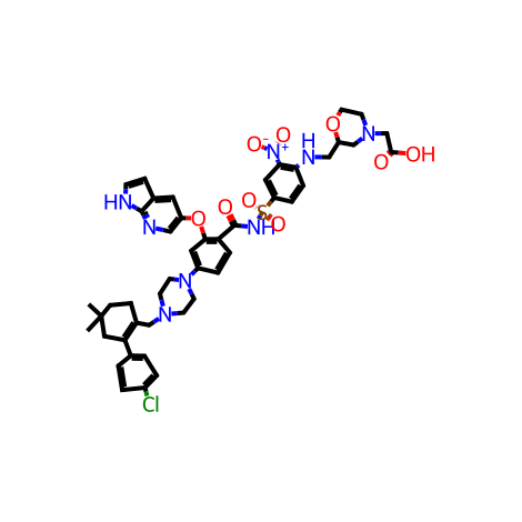 CC1(C)CCC(CN2CCN(c3ccc(C(=O)NS(=O)(=O)c4ccc(NCC5CN(CC(=O)O)CCO5)c([N+](=O)[O-])c4)c(Oc4cnc5[nH]ccc5c4)c3)CC2)=C(c2ccc(Cl)cc2)C1